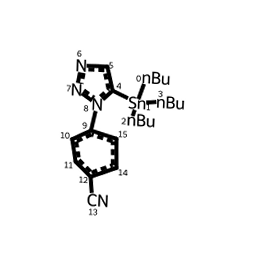 CCC[CH2][Sn]([CH2]CCC)([CH2]CCC)[c]1cnnn1-c1ccc(C#N)cc1